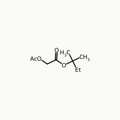 CCC(C)(C)OC(=O)COC(C)=O